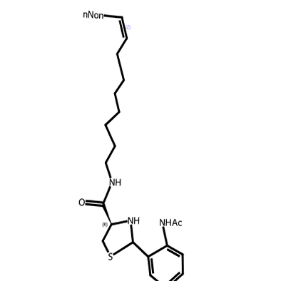 CCCCCCCCC/C=C\CCCCCCCNC(=O)[C@@H]1CSC(c2ccccc2NC(C)=O)N1